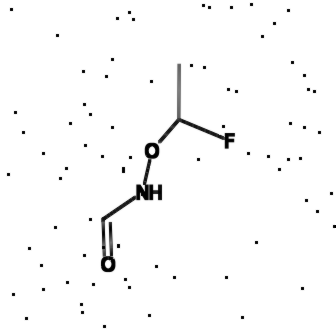 CC(F)ONC=O